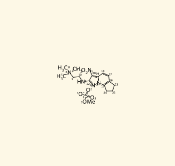 COS(=O)(=O)[O-].C[N+](C)(C)CCNc1nn2c3c(ccc2c1[N+](=O)[O-])CCC3